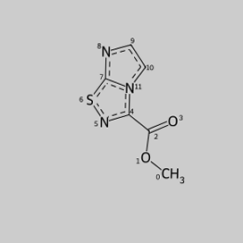 COC(=O)c1nsc2nccn12